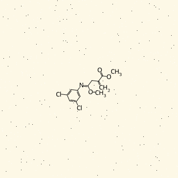 C=C(CC(=Nc1cc(Cl)cc(Cl)c1)OC)C(=O)OC